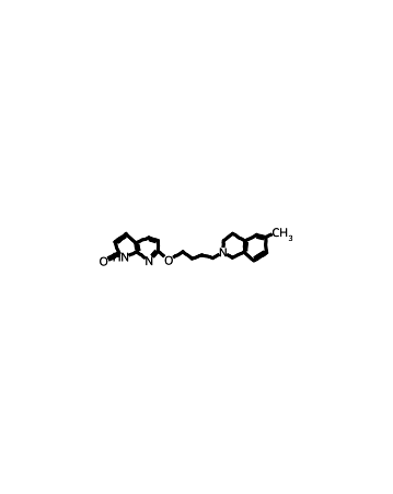 Cc1ccc2c(c1)CCN(CCCCOc1ccc3ccc(=O)[nH]c3n1)C2